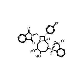 O=C1c2ccccc2C(=O)N1C[C@@H]1[C@H](c2ccc(Br)cc2)[C@@H]2CN(S(=O)(=O)c3ccccc3[N+](=O)[O-])CC(O)C(O)CN12